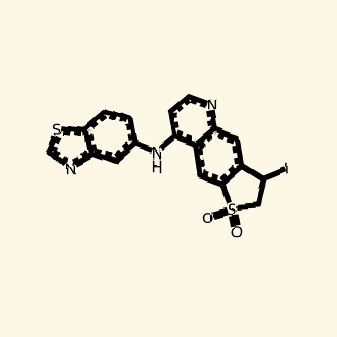 O=S1(=O)CC(I)c2cc3nccc(Nc4ccc5scnc5c4)c3cc21